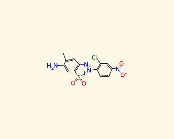 Cc1cc(/N=N/c2ccc([N+](=O)[O-])cc2Cl)c(S(=O)(=O)F)cc1N